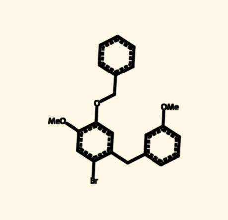 COc1cccc(Cc2cc(OCc3ccccc3)c(OC)cc2Br)c1